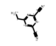 CCc1nc(C#N)nc(C#N)n1